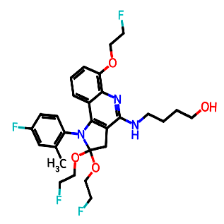 Cc1cc(F)ccc1N1c2c(c(NCCCCO)nc3c(OCCF)cccc23)CC1(OCCF)OCCF